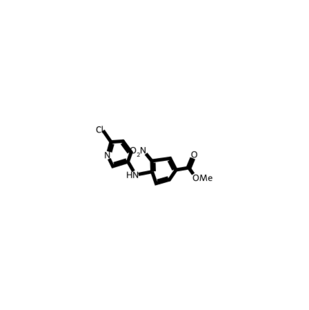 COC(=O)c1ccc(Nc2ccc(Cl)nc2)c([N+](=O)[O-])c1